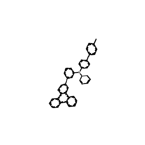 Cc1ccc(-c2ccc(N(c3cccc(-c4ccc5c6ccccc6c6ccccc6c5c4)c3)C3C=CC=CC3)cc2)cc1